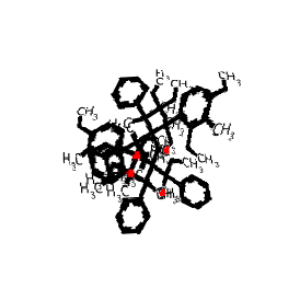 CCc1ccc(C(C)(CC)C(C(=O)C(C(C)(CC)c2ccccc2)(C(C)(CC)c2ccc(CC)c(C)c2CC)C(C)(c2ccccc2)C(C)(CC)CC)(C(C)(CC)c2ccccc2)C(C)(c2ccccc2)C(C)(CC)CC)c(CC)c1C